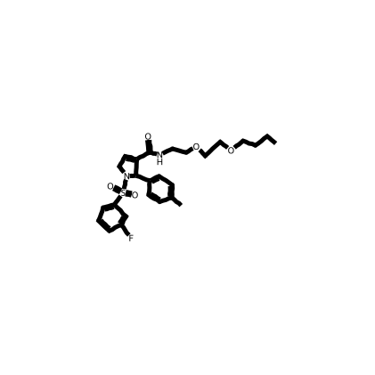 CCCCOCCOCCNC(=O)C1=CCN(S(=O)(=O)c2cccc(F)c2)C1c1ccc(C)cc1